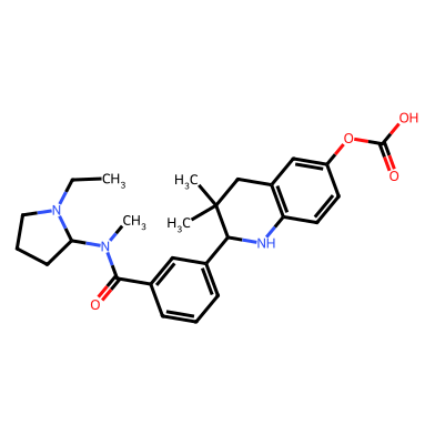 CCN1CCCC1N(C)C(=O)c1cccc(C2Nc3ccc(OC(=O)O)cc3CC2(C)C)c1